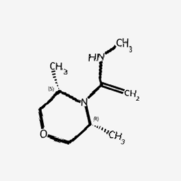 C=C(NC)N1[C@H](C)COC[C@@H]1C